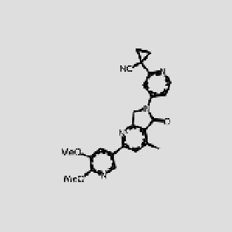 COc1cc(-c2cc(C)c3c(n2)CN(c2ccnc(C4(C#N)CC4)c2)C3=O)cnc1OC